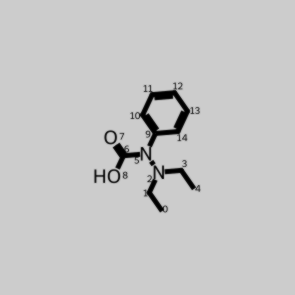 CCN(CC)N(C(=O)O)c1ccccc1